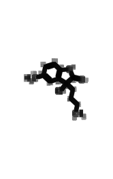 CCCCC1(Cl)C(=O)Oc2ccc(C)cc21